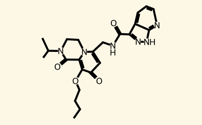 CCCCOc1c2n(c(CNC(=O)c3n[nH]c4ncccc34)cc1=O)CCN(C(C)C)C2=O